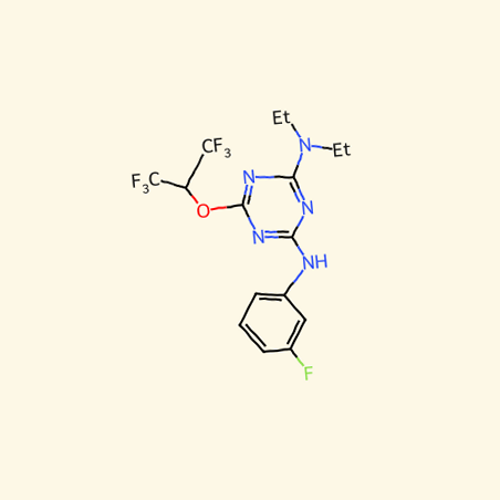 CCN(CC)c1nc(Nc2cccc(F)c2)nc(OC(C(F)(F)F)C(F)(F)F)n1